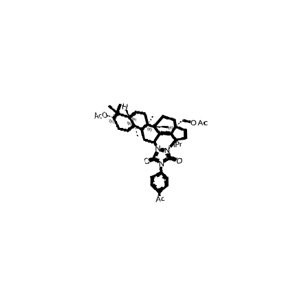 CC(=O)OC[C@]12CCC3(C(C)C)C1=C1C(CC4[C@@]5(C)CC[C@H](OC(C)=O)C(C)(C)[C@@H]5CC[C@@]4(C)[C@]1(C)CC2)n1c(=O)n(-c2ccc(C(C)=O)cc2)c(=O)n13